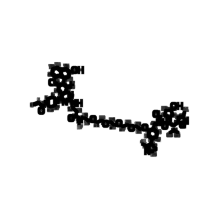 C=CC(=O)N1CCN(c2nc(NCCC(=O)N(C)CCOCCOCCOCCOCCOc3cc(-c4scnc4C)ccc3CNC(=O)[C@@H]3C[C@@H](O)CN3C(=O)[C@H](c3cc(C)no3)C(C)C)nc3c(F)c(-c4cc(O)cc5ccccc45)c(Cl)cc23)CC1